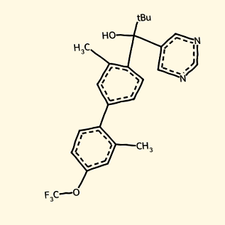 Cc1cc(OC(F)(F)F)ccc1-c1ccc(C(O)(c2cncnc2)C(C)(C)C)c(C)c1